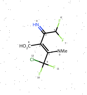 CN/C(=C(\C(=N)C(F)F)C(=O)O)C(F)(F)Cl